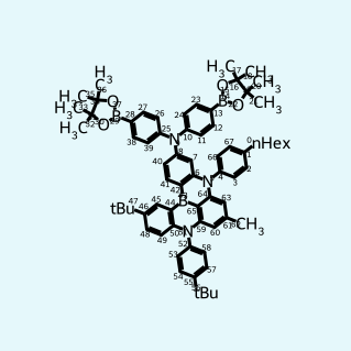 CCCCCCc1ccc(N2c3cc(N(c4ccc(B5OC(C)(C)C(C)(C)O5)cc4)c4ccc(B5OC(C)(C)C(C)(C)O5)cc4)ccc3B3c4cc(C(C)(C)C)ccc4N(c4ccc(C(C)(C)C)cc4)c4cc(C)cc2c43)cc1